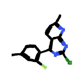 Cc1ccc(-c2nc(Cl)nc3nc(C)ccc23)c(F)c1